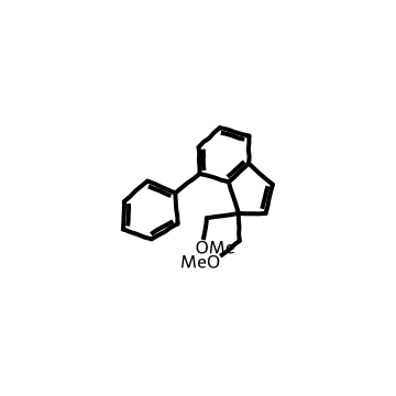 COCC1(COC)C=Cc2cccc(-c3ccccc3)c21